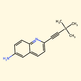 C[Si](C)(C)C#Cc1ccc2cc(N)ccc2n1